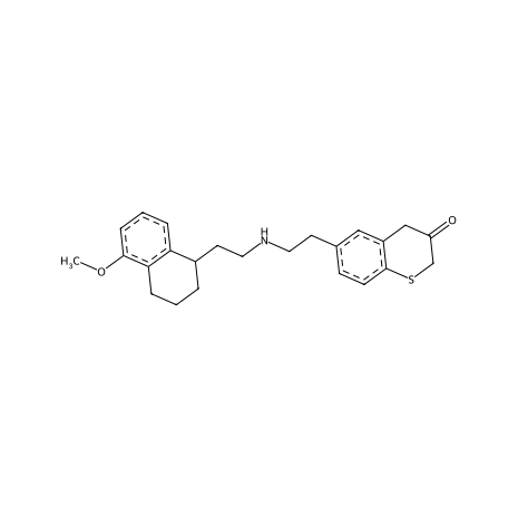 COc1cccc2c1CCCC2CCNCCc1ccc2c(c1)CC(=O)CS2